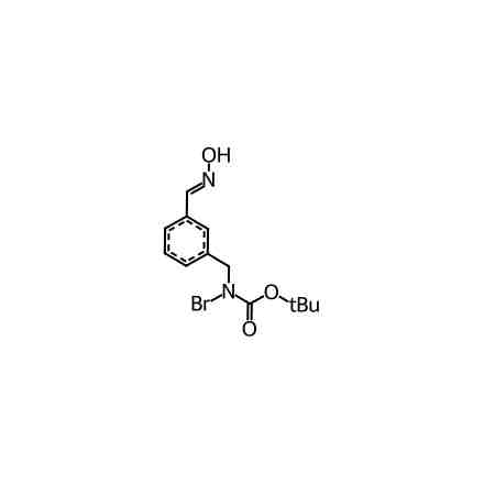 CC(C)(C)OC(=O)N(Br)Cc1cccc(C=NO)c1